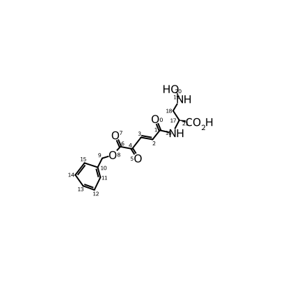 O=C(/C=C/C(=O)C(=O)OCc1ccccc1)N[C@@H](CNO)C(=O)O